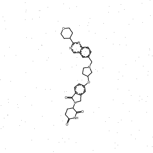 O=C1CCC(N2Cc3cc(OC4CCN(Cc5ccc6nc(C7CCOCC7)ncc6c5)C4)ccc3C2=O)C(=O)N1